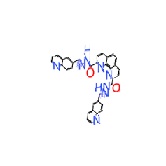 O=C(N/N=C/c1ccc2ncccc2c1)c1ccc2ccc3ccc(C(=O)N/N=C/c4ccc5ncccc5c4)nc3c2n1